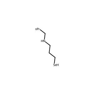 CCCCNCCC[SeH]